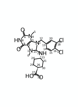 CN1c2c(n(C)c(=O)[nH]c2=O)N(Cc2ccc(Cl)c(Cl)c2)C1N[C@H]1CC[C@H](C(=O)O)CC1